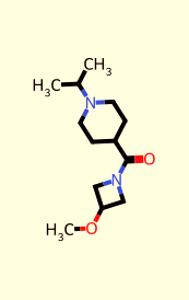 COC1CN(C(=O)C2CCN(C(C)C)CC2)C1